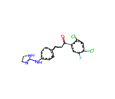 O=C(CCc1ccc(NC2=NCCN2)cc1)c1cc(F)c(Cl)cc1Cl